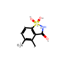 Cc1c([N+](=O)[O-])ccc2c1C(=O)NS2(=O)=O